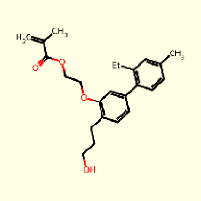 C=C(C)C(=O)OCCOc1cc(-c2ccc(C)cc2CC)ccc1CCCO